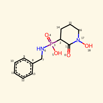 O=C1C(P(=O)(O)NCc2ccccc2)CCCN1O